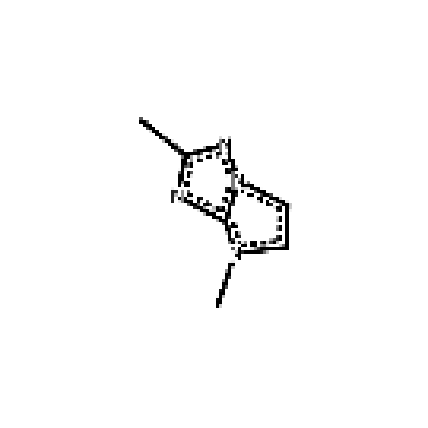 Cc1nc2n(C)ccn2n1